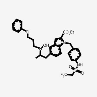 CCOC(=O)c1cc2cc(CC(C)N(O)CCCOc3ccccc3)ccc2n1Cc1ccc(NS(=O)(=O)CC(F)(F)F)cc1